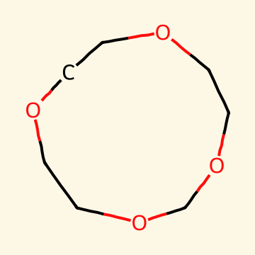 C1COCCOCOCCO1